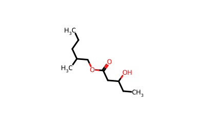 CCCC(C)COC(=O)CC(O)CC